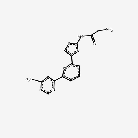 Cc1cc(-c2cccc(-c3csc(NC(=O)CN)n3)n2)ncn1